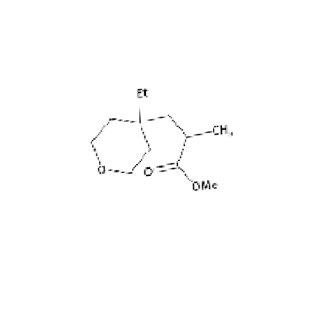 CCC1(CC(C)C(=O)OC)CCOCC1